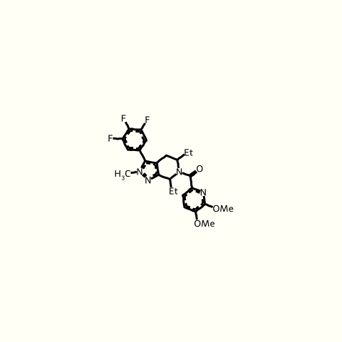 CCC1Cc2c(nn(C)c2-c2cc(F)c(F)c(F)c2)C(CC)N1C(=O)c1ccc(OC)c(OC)n1